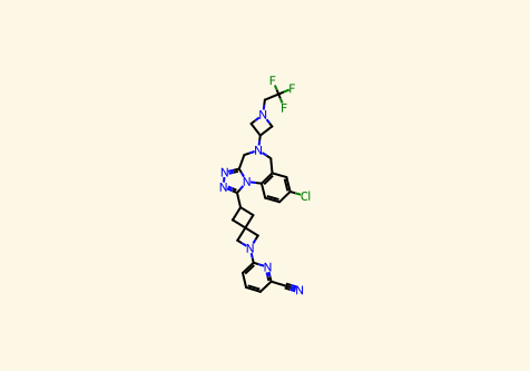 N#Cc1cccc(N2CC3(CC(c4nnc5n4-c4ccc(Cl)cc4CN(C4CN(CC(F)(F)F)C4)C5)C3)C2)n1